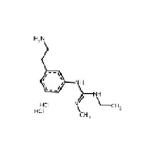 CCNC(=NC)Nc1cccc(CCN)c1.Cl.Cl